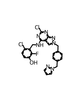 Oc1ccc(Cl)c(CNc2nc(Cl)nc3nn(Cc4ccc(Cn5cccn5)cc4)cc23)c1F